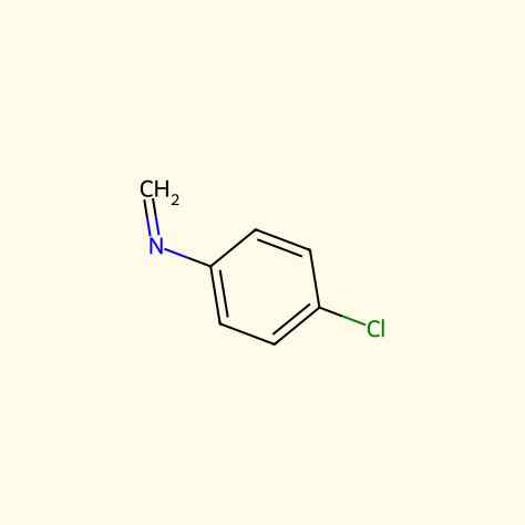 C=Nc1ccc(Cl)cc1